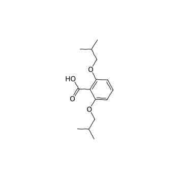 CC(C)COc1cccc(OCC(C)C)c1C(=O)O